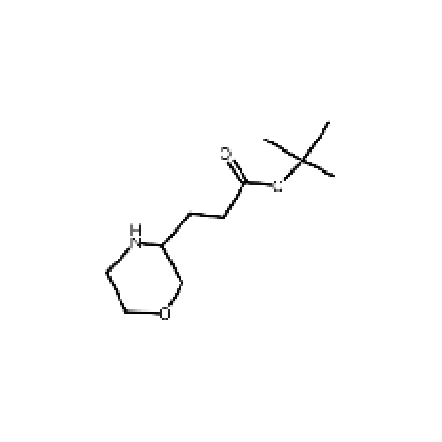 CC(C)(C)OC(=O)CCC1COCCN1